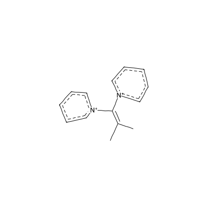 CC(C)=C([n+]1ccccc1)[n+]1ccccc1